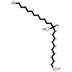 CC(=O)C(CCCCCCCCCCCO)(CCCCCCCCCCC(=O)O)C(=O)O